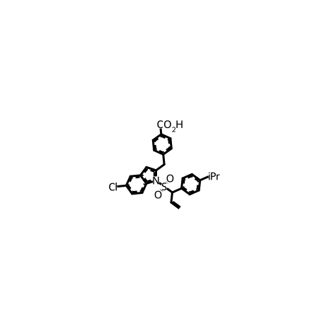 C=CC(c1ccc(C(C)C)cc1)S(=O)(=O)n1c(Cc2ccc(C(=O)O)cc2)cc2cc(Cl)ccc21